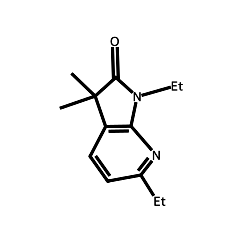 CCc1ccc2c(n1)N(CC)C(=O)C2(C)C